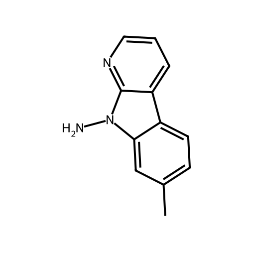 Cc1ccc2c3cccnc3n(N)c2c1